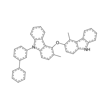 Cc1ccc2c(c1Oc1ccc3[nH]c4ccccc4c3c1C)c1ccccc1n2-c1cccc(-c2ccccc2)c1